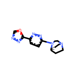 c1nnc(-c2ccc(N3CCN4CCC3CC4)nn2)o1